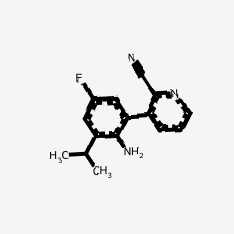 CC(C)c1cc(F)cc(-c2cccnc2C#N)c1N